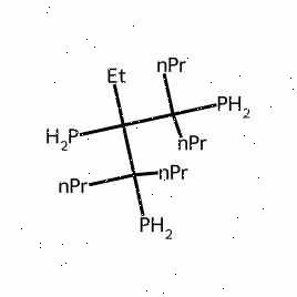 CCCC(P)(CCC)C(P)(CC)C(P)(CCC)CCC